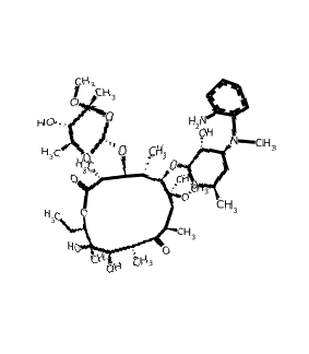 CC[C@H]1OC(=O)[C@H](C)[C@@H](O[C@@H]2O[C@@H](C)[C@H](O)[C@](C)(OC)O2)[C@H](C)[C@@H](O[C@@H]2O[C@H](C)C[C@H](N(C)c3ccccc3N)[C@H]2O)[C@@](C)(OC)C[C@@H](C)C(=O)[C@H](C)[C@@H](O)[C@]1(C)O